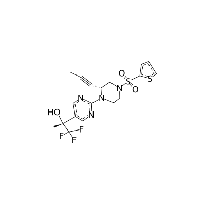 CC#C[C@@H]1CN(S(=O)(=O)c2cccs2)CCN1c1ncc([C@@](C)(O)C(F)(F)F)cn1